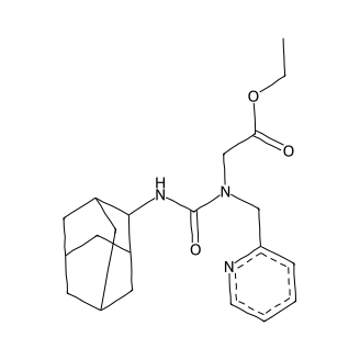 CCOC(=O)CN(Cc1ccccn1)C(=O)NC1C2CC3CC(C2)CC1C3